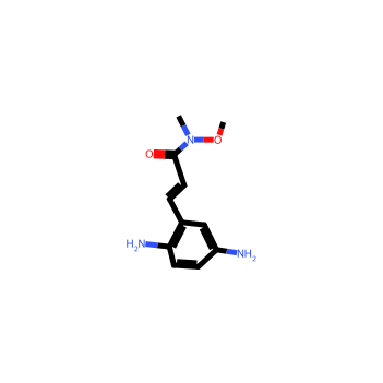 CON(C)C(=O)C=Cc1cc(N)ccc1N